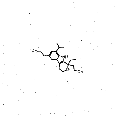 CCC1(CCO)OCCc2c1[nH]c1c(C(C)C)cc(CCO)cc21